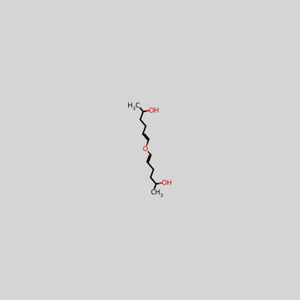 CC(O)CCC=COC=CCCC(C)O